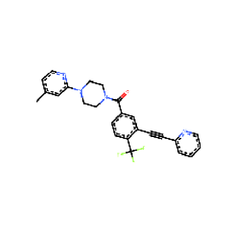 Cc1ccnc(N2CCN(C(=O)c3ccc(C(F)(F)F)c(C#Cc4ccccn4)c3)CC2)c1